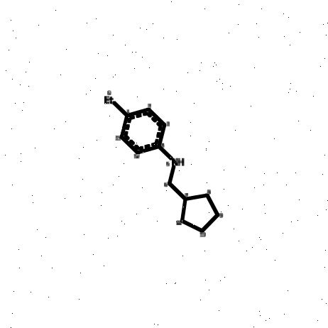 CCc1ccc(NCC2CCCC2)cc1